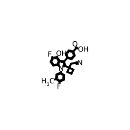 Cc1cc(-n2c(C3(CC#N)CCC3)c(-c3ccc(C(=O)O)cc3)c3c(O)c(F)ccc32)ccc1F